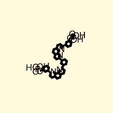 O=P(O)(O)Oc1cccc(-c2ccc3ccc4ccc(-c5cccc(-c6ccc7ccc8ccc(-c9cccc(OP(=O)(O)O)c9)nc8c7n6)c5)nc4c3n2)c1